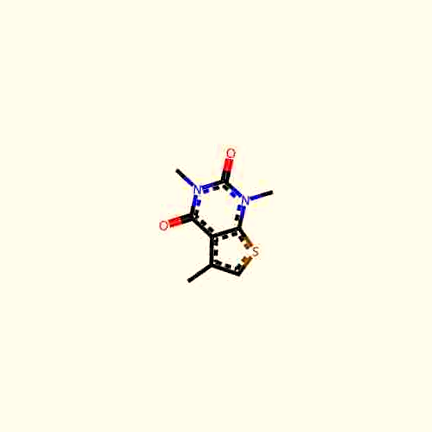 Cc1csc2c1c(=O)n(C)c(=O)n2C